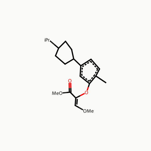 CO/C=C(\Oc1cc(C2CCC(C(C)C)CC2)ccc1C)C(=O)OC